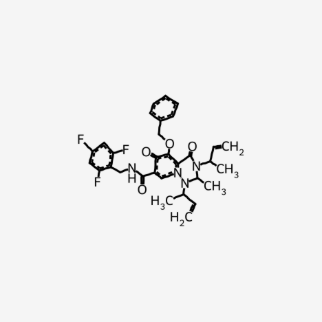 C=CC(C)N1C(=O)c2c(OCc3ccccc3)c(=O)c(C(=O)NCc3c(F)cc(F)cc3F)cn2N(C(C)C=C)C1C